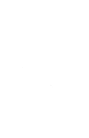 COc1ccc2c(c1)c1c(O)c(C(=O)c3ccccc3)c(-c3ccccc3)cc1n2C